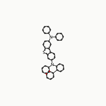 c1ccc(-c2ccccc2N(c2ccccc2)c2ccc3c(c2)sc2ccc(N(c4ccccc4)c4ccccc4)cc23)cc1